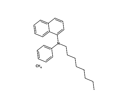 C.CCCCCCCCN(c1ccccc1)c1cccc2ccccc12